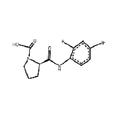 O=C(Nc1ccc(Br)cc1F)[C@H]1CCCN1C(=O)O